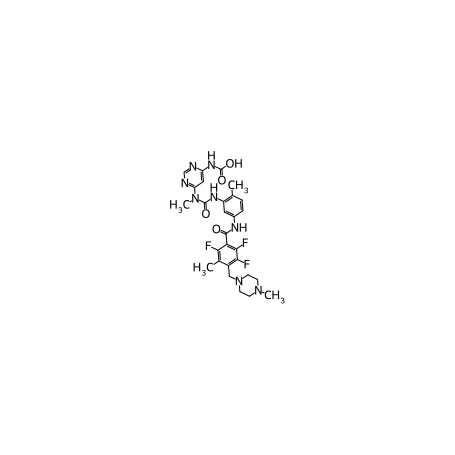 Cc1ccc(NC(=O)c2c(F)c(C)c(CN3CCN(C)CC3)c(F)c2F)cc1NC(=O)N(C)c1cc(NC(=O)O)ncn1